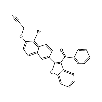 N#CCOc1ccc2cc(-c3oc4ccccc4c3C(=O)c3ccccc3)ccc2c1Br